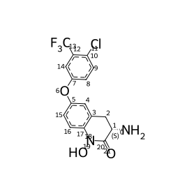 N[C@H]1Cc2cc(Oc3ccc(Cl)c(C(F)(F)F)c3)ccc2N(O)C1=O